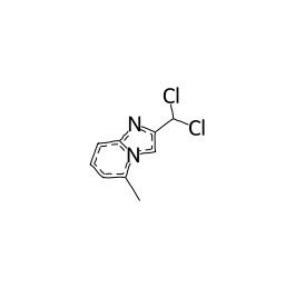 Cc1cccc2nc(C(Cl)Cl)cn12